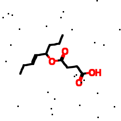 CCC=CC(CCC)OC(=O)CCC(=O)O